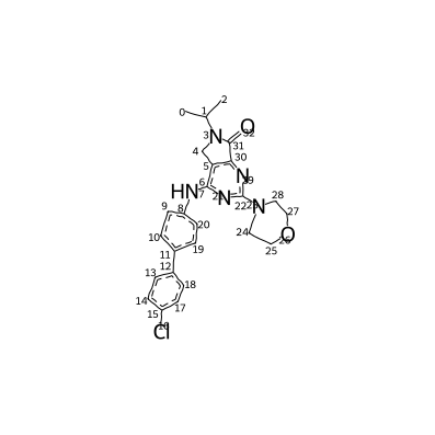 CC(C)N1Cc2c(Nc3ccc(-c4ccc(Cl)cc4)cc3)nc(N3CCOCC3)nc2C1=O